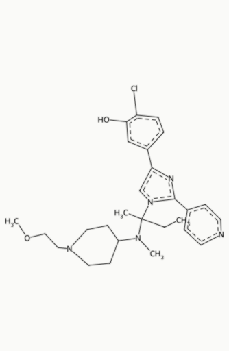 CCC(C)(N(C)C1CCN(CCOC)CC1)n1cc(-c2ccc(Cl)c(O)c2)nc1-c1ccncc1